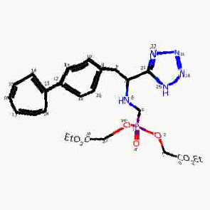 CCOC(=O)COP(=O)(CNC(Cc1ccc(-c2ccccc2)cc1)c1nnn[nH]1)OCC(=O)OCC